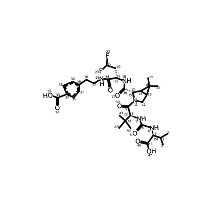 CC(C)[C@H](NC(=O)N[C@H](C(=O)N1CC2C([C@H]1C(=O)N[C@@H](CC(F)F)C(=O)NCCc1ccc(C(=O)O)cc1)C2(C)C)C(C)(C)C)C(=O)O